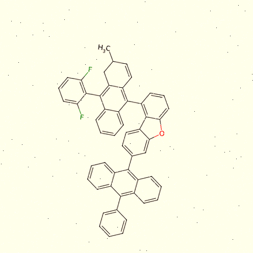 CC1C=Cc2c(c(-c3c(F)cccc3F)c3ccccc3c2-c2cccc3oc4cc(-c5c6ccccc6c(-c6ccccc6)c6ccccc56)ccc4c23)C1